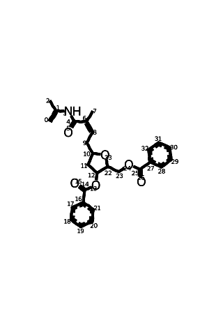 C=C(C)NC(=O)/C(C)=C\CC1CC(OC(=O)c2ccccc2)C(COC(=O)c2ccccc2)O1